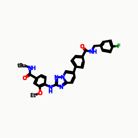 CCOc1cc(C(=O)NC(C)(C)C)ccc1Nc1nc2ccc(-c3ccc(C(=O)NCc4ccc(F)cc4)cc3)cn2n1